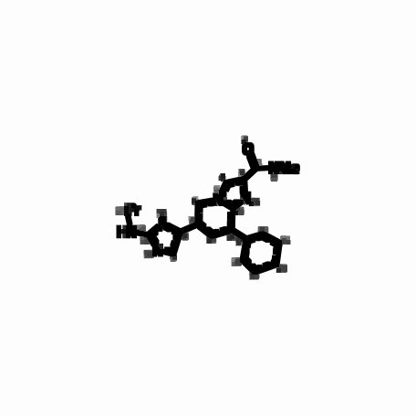 CNC(=O)c1cn2cc(-c3cnc(NC(C)C)s3)cc(-c3ccccc3)c2n1